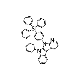 C1=CCC(n2c3ccccc3c3c4cccnc4n(-c4ccc([Si](c5ccccc5)(c5ccccc5)c5ccccc5)cc4)c32)C=C1